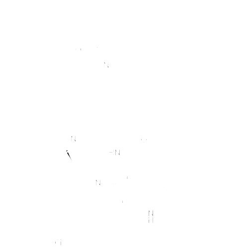 CN(C)C[C@@H]1Cc2cc(Cl)ccc2N(C(=O)[C@@H](Cc2c[nH]c3ccccc23)NC(=O)CCC2CCN(C(=O)c3ccccc3)CC2)C1